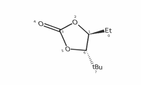 CC[C@@H]1OC(=O)O[C@H]1C(C)(C)C